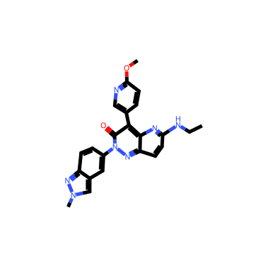 CCNc1ccc2nn(-c3ccc4nn(C)cc4c3)c(=O)c(-c3ccc(OC)nc3)c2n1